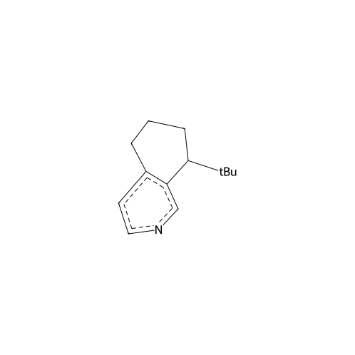 CC(C)(C)C1CCCc2ccncc21